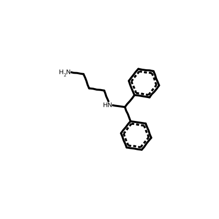 NCCCNC(c1ccccc1)c1ccccc1